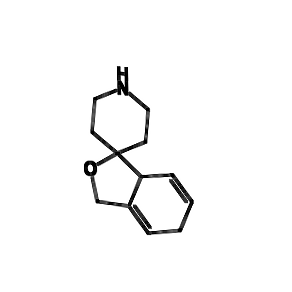 C1=CC2C(=CC1)COC21CCNCC1